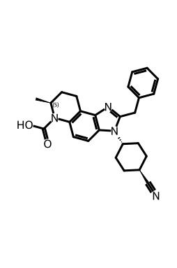 C[C@H]1CCc2c(ccc3c2nc(Cc2ccccc2)n3[C@H]2CC[C@H](C#N)CC2)N1C(=O)O